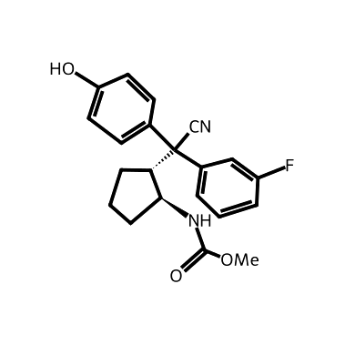 COC(=O)N[C@H]1CCC[C@@H]1C(C#N)(c1ccc(O)cc1)c1cccc(F)c1